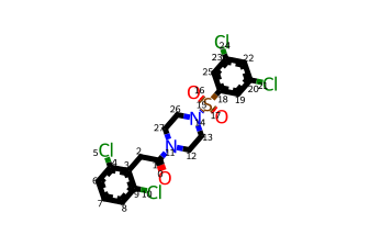 O=C(Cc1c(Cl)cccc1Cl)N1CCN(S(=O)(=O)c2cc(Cl)cc(Cl)c2)CC1